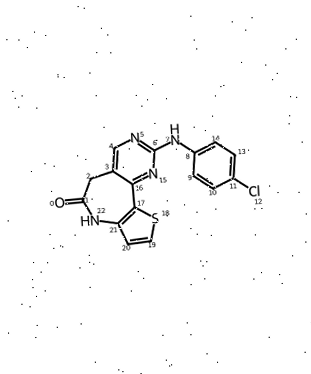 O=C1Cc2cnc(Nc3ccc(Cl)cc3)nc2-c2sccc2N1